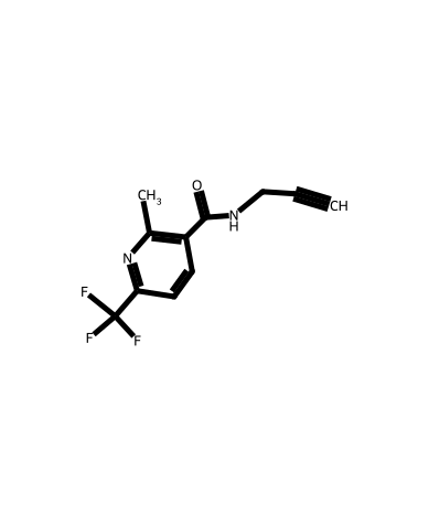 C#CCNC(=O)c1ccc(C(F)(F)F)nc1C